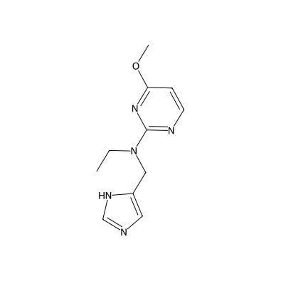 CCN(Cc1cnc[nH]1)c1nccc(OC)n1